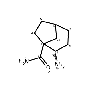 NC(=O)C12CCC(CC[C@@H]1N)C2